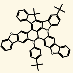 CC(C)(C)c1ccc(N2B3c4cc5oc6ccccc6c5cc4-n4c5ccc(C(C)(C)C)cc5c5c6c(c(c3c54)-c3cc4sc5ccccc5c4cc32)-c2ccccc2C6(C)C)cc1